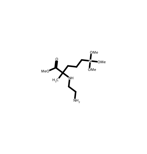 COC(=O)C(C)(CCC[Si](OC)(OC)OC)NCCN